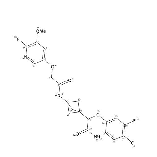 COc1cc(OCC(=O)NC23CC(C(Oc4ccc(Cl)c(F)c4)C(N)=O)(C2)C3)cnc1F